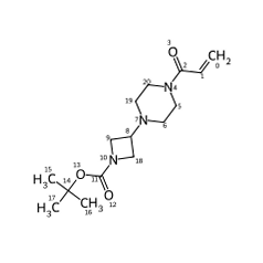 C=CC(=O)N1CCN(C2CN(C(=O)OC(C)(C)C)C2)CC1